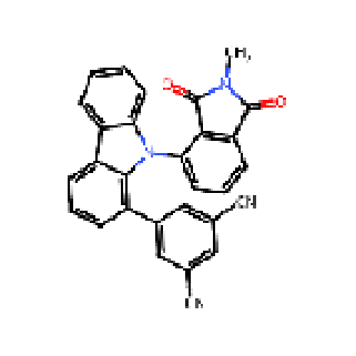 CN1C(=O)c2cccc(-n3c4ccccc4c4cccc(-c5cc(C#N)cc(C#N)c5)c43)c2C1=O